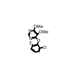 COc1ncnc(Oc2c(F)cccc2Cl)c1OC